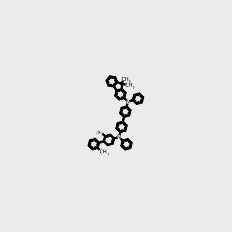 Cc1ccccc1C1CC=C(N(c2ccccc2)c2ccc(-c3ccc(N(c4ccccc4)c4ccc5c(c4)C(C)(C)c4ccccc4-5)cc3)cc2)C=C1C(C)C